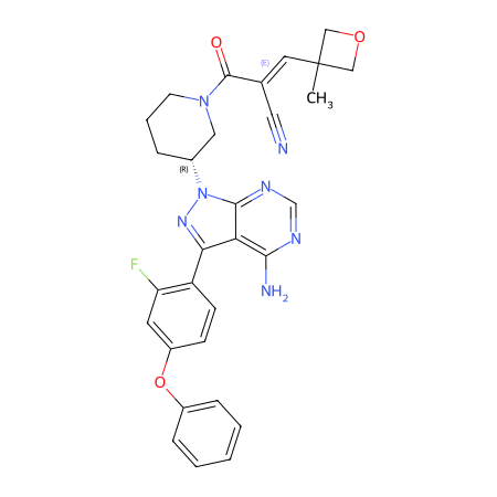 CC1(/C=C(\C#N)C(=O)N2CCC[C@@H](n3nc(-c4ccc(Oc5ccccc5)cc4F)c4c(N)ncnc43)C2)COC1